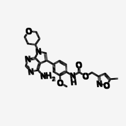 COc1cc(-c2cn(C3CCOCC3)c3ncnc(N)c23)ccc1NC(=O)OCc1cc(C)on1